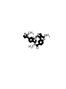 CN(C(=O)c1ccc2nc(N)c3cnn(C)c3c2c1)[C@@H]1COc2cc(-c3ccnn3C)ccc21